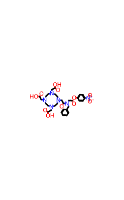 O=C(O)CN1CCN(CC(=O)O)CCN(CC(=O)N(CC(=O)Oc2ccc([N+](=O)[O-])cc2)Cc2ccccc2)CCN(CC(=O)O)CC1